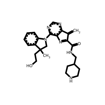 C=C1C(C(=O)NCC2CCNCC2)=Nc2c1ncnc2N1CC(C)(CCO)c2ccccc21